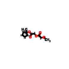 COCC(=O)OCC(=O)OC1(C)CCCC1